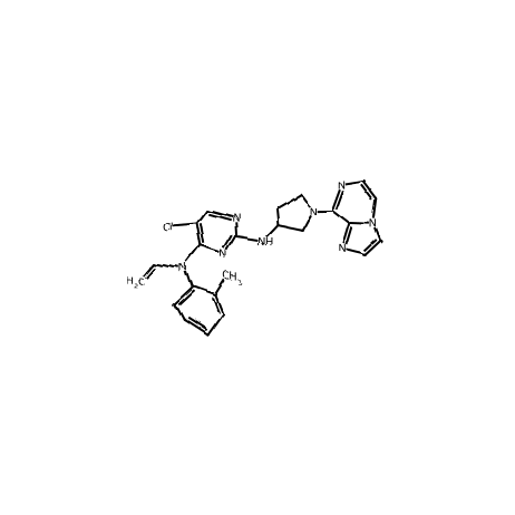 C=CN(c1ccccc1C)c1nc(NC2CCN(c3nccn4ccnc34)C2)ncc1Cl